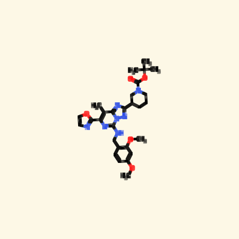 COc1ccc(CNc2nc(-c3ncco3)c(C)c3nc(C4CCCN(C(=O)OC(C)(C)C)C4)nn23)c(OC)c1